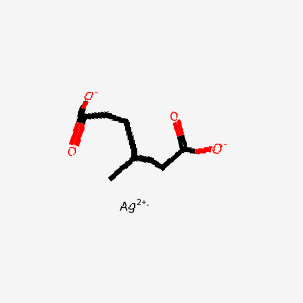 CC(CC(=O)[O-])CC(=O)[O-].[Ag+2]